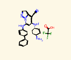 N#Cc1c(N[C@H]2CC[C@H](N)CC2)cc(Nc2ccc(-c3ccccc3)cc2)n2nccc12.O=C(O)C(F)(F)F